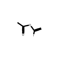 C=C(I)OC(C)=O